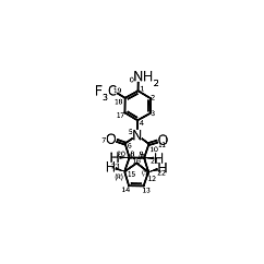 Nc1ccc(N2C(=O)[C@@H]3[C@H](C2=O)[C@@H]2C=C[C@H]3C2)cc1C(F)(F)F